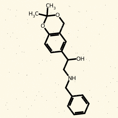 CC1(C)OCc2cc(C(O)CNCc3ccccc3)ccc2O1